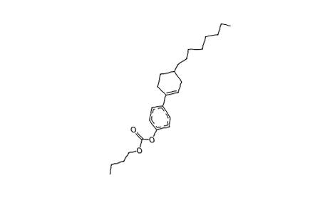 CCCCCCCCC1CC=C(c2ccc(OC(=O)OCCCC)cc2)CC1